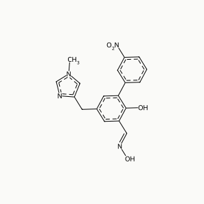 Cn1cnc(Cc2cc(C=NO)c(O)c(-c3cccc([N+](=O)[O-])c3)c2)c1